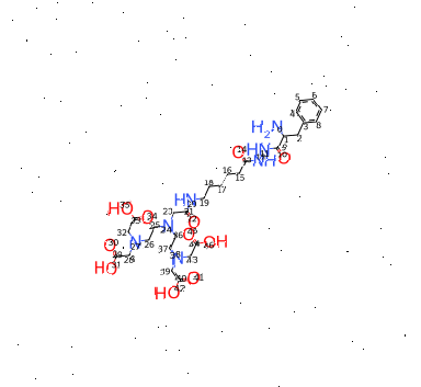 NC(Cc1ccccc1)C(=O)NNC(=O)CCCCCNC(=O)CN(CCN(CC(=O)O)CC(=O)O)CCN(CC(=O)O)CC(=O)O